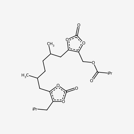 CC(C)Cc1oc(=O)oc1CC(C)CCC(C)Cc1oc(=O)oc1COC(=O)C(C)C